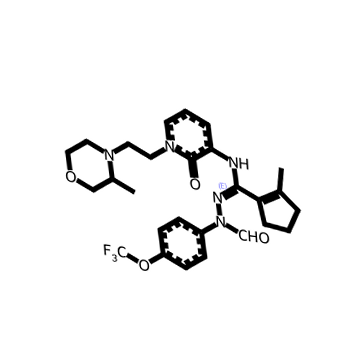 CC1=C(/C(=N\N(C=O)c2ccc(OC(F)(F)F)cc2)Nc2cccn(CCN3CCOCC3C)c2=O)CCC1